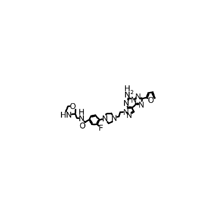 Nc1nc2c(cnn2CCN2CCN(c3ccc(C(=O)NCC4COCCN4)cc3F)CC2)c2nc(-c3ccco3)nn12